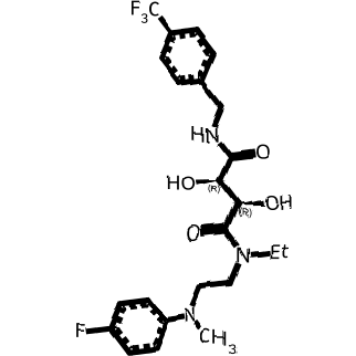 CCN(CCN(C)c1ccc(F)cc1)C(=O)[C@H](O)[C@@H](O)C(=O)NCc1ccc(C(F)(F)F)cc1